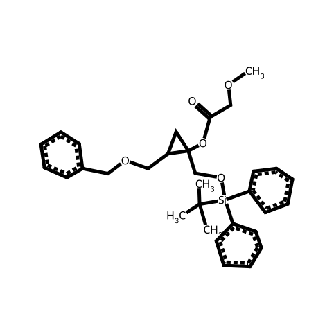 COCC(=O)OC1(CO[Si](c2ccccc2)(c2ccccc2)C(C)(C)C)CC1COCc1ccccc1